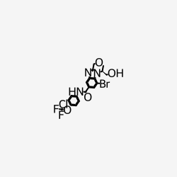 O=C(Nc1ccc(OC(F)(F)Cl)cc1)c1cc(Br)c2c(c1)nc1n2[C@H](CO)COC1